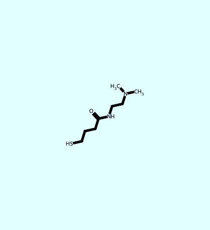 CN(C)CCNC(=O)CCCS